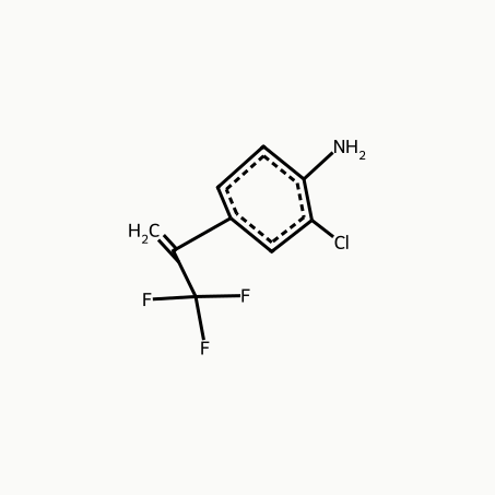 C=C(c1ccc(N)c(Cl)c1)C(F)(F)F